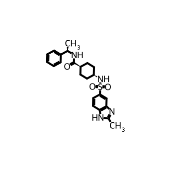 Cc1nc2cc(S(=O)(=O)N[C@H]3CC[C@H](C(=O)N[C@H](C)c4ccccc4)CC3)ccc2[nH]1